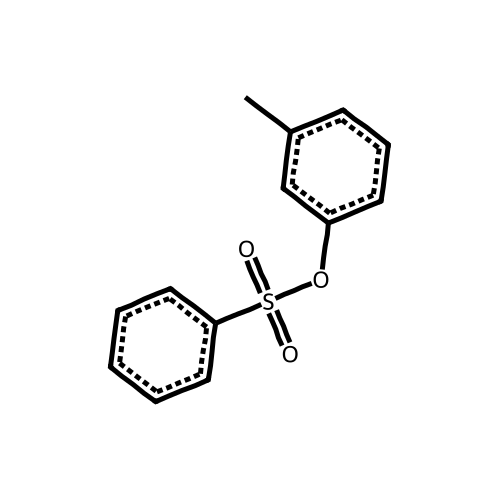 Cc1cccc(OS(=O)(=O)c2ccccc2)c1